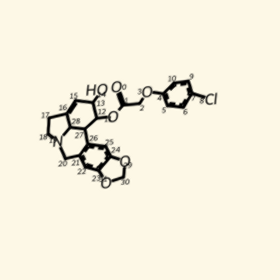 O=C(COc1ccc(Cl)cc1)OC1C(O)C=C2CCN3Cc4cc5c(cc4C1C23)OCO5